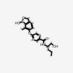 CCC[C@H](CO)NC(=O)c1cnc(Oc2ccc3c(c2C)B(O)OC3)cn1